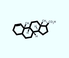 C[C@]12C=CCCC1CC[C@@H]1[C@H]2CC[C@]2(C)C(C(=O)O)CC[C@@H]12